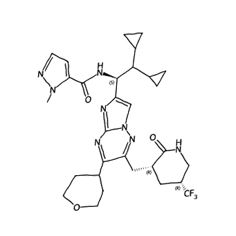 Cn1nccc1C(=O)N[C@H](c1cn2nc(C[C@H]3C[C@@H](C(F)(F)F)CNC3=O)c(C3CCOCC3)nc2n1)C(C1CC1)C1CC1